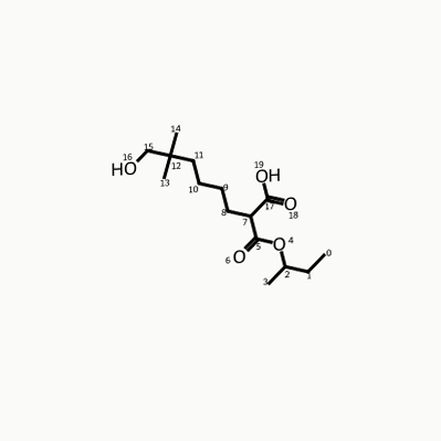 CCC(C)OC(=O)C(CCCCC(C)(C)CO)C(=O)O